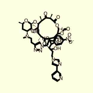 CO[C@]1(C)C[C@@H](C)C(=O)[C@@H]2C(CCCn3cnc(-c4cccnc4)c3)N[C@H]2[C@](C)(OC=O)[C@@H](I)OC(=O)[C@H](C)C(=O)[C@H](C)[C@H]1O[C@@H]1O[C@H](C)C[C@H](N(C)CCc2cn([C@H](CO)[C@H](O)c3ccc([N+](=O)[O-])cc3)nn2)[C@H]1O